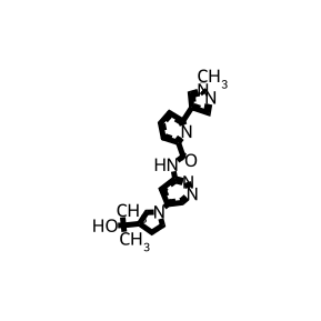 Cn1cc(-c2cccc(C(=O)Nc3cc(N4CCC(C(C)(C)O)C4)cnn3)n2)cn1